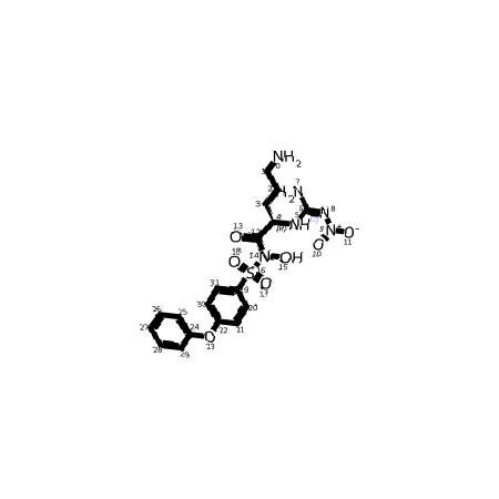 NCCC[C@@H](N/C(N)=N\[N+](=O)[O-])C(=O)N(O)S(=O)(=O)c1ccc(Oc2ccccc2)cc1